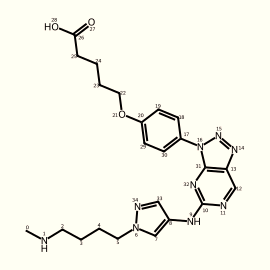 CNCCCCn1cc(Nc2ncc3nnn(-c4ccc(OCCCCC(=O)O)cc4)c3n2)cn1